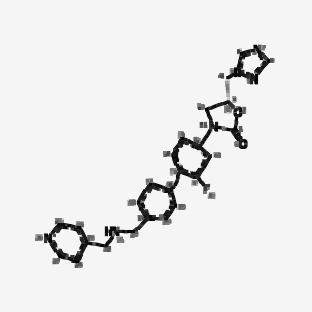 O=C1O[C@@H](Cn2cncn2)CN1c1ccc(-c2ccc(CNCc3ccncc3)cc2)c(F)c1